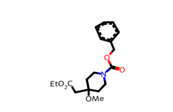 CCOC(=O)CC1(OC)CCN(C(=O)OCc2ccccc2)CC1